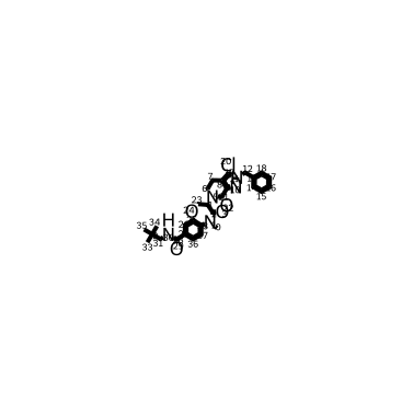 CN1C(=O)[C@@H](N2CCc3c(nn(Cc4ccccc4)c3Cl)C2=O)COc2cc(C(=O)NCC(C)(C)C)ccc21